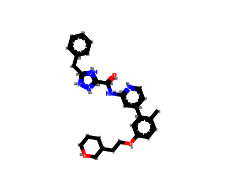 Cc1ccc(OCCC2CCCOC2)cc1-c1ccnc(NC(=O)c2nnc(Cc3ccccc3)[nH]2)c1